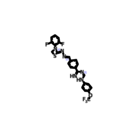 N=C(/N=C\Nc1ccc(OC(F)(F)F)cc1)c1ccc(/C=N/N=C2\SCN2c2c(F)cccc2F)cc1